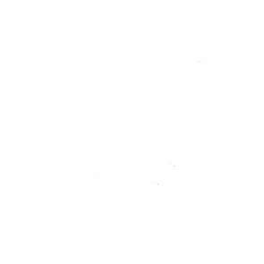 CCN(CC)c1ccc(-c2nnc(-c3ccc(C(=O)O)cc3)o2)cc1